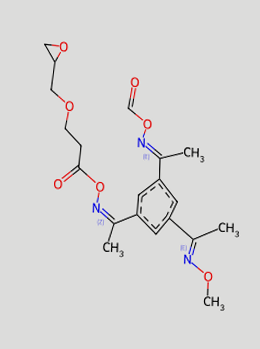 CO/N=C(\C)c1cc(/C(C)=N\OC(=O)CCOCC2CO2)cc(/C(C)=N/OC=O)c1